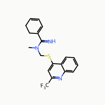 CN(CSc1cc(C(F)(F)F)nc2ccccc12)C(=N)C1=CC=CCC1